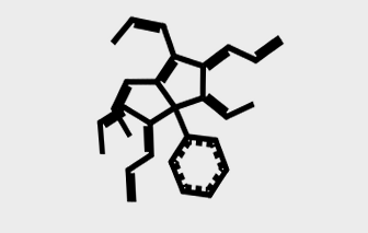 C=C/C=C1C(/C=C\C)=C(/C=C\C)C(C(/C=C\C)=C/C=C)(c2ccccc2)C/1=C/C